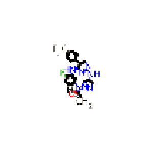 C=CC(=O)Nc1ccc(F)c(Nc2nc(Nc3cnn(C)c3)ncc2-c2ccc(C(F)(F)F)cc2)c1